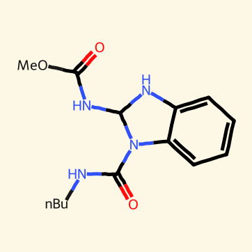 CCCCNC(=O)N1c2ccccc2NC1NC(=O)OC